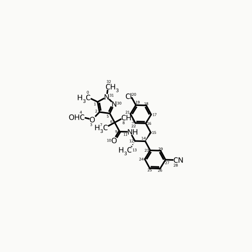 Cc1c(OC=O)c(C(C)(C)C(=O)N[C@@H](C)[C@@H](Cc2ccc(Cl)cc2)c2cccc(C#N)c2)nn1C